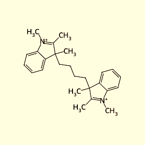 CC1=[N+](C)c2ccccc2C1(C)CCCCC1(C)C(C)=[N+](C)c2ccccc21